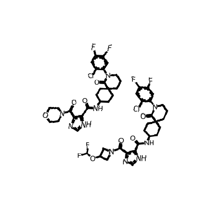 O=C(NC1CCC2(CCCN(c3cc(F)c(F)cc3Cl)C2=O)CC1)c1[nH]cnc1C(=O)N1CC(OC(F)F)C1.O=C(NC1CCC2(CCCN(c3cc(F)c(F)cc3Cl)C2=O)CC1)c1[nH]cnc1C(=O)N1CCOCC1